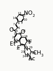 CCn1cc(C(=O)C=Cc2ccc([N+](=O)[O-])cc2)c(=O)c2cc(F)c(N3CCN(C(C)=O)C(C)C3)c(F)c21